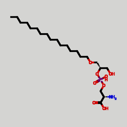 CCCCCCCCCCCCCCCCOC[C@H](CO)OP(=O)(O)OC[C@H](N)C(=O)O